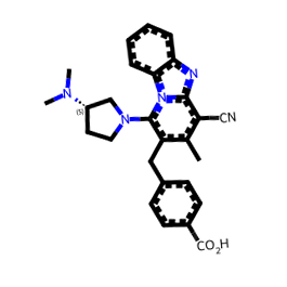 Cc1c(Cc2ccc(C(=O)O)cc2)c(N2CC[C@H](N(C)C)C2)n2c(nc3ccccc32)c1C#N